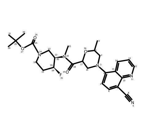 CC1CN(c2ccc(C#N)c3ncccc23)CC(C(=O)N(C)[C@@H]2CN(C(=O)OC(C)(C)C)CC[C@@H]2F)O1